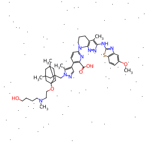 COc1ccc2sc(Nc3nnc4c(c3C)CCCN4c3ccc(-c4cnn(CC56CC7(C)CC(C)(C5)CC(OCCN(C)CCCCO)(C7)C6)c4C)c(C(=O)O)n3)nc2c1